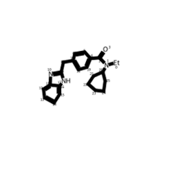 CCN(C(=O)c1ccc(Cc2nc3ccccc3[nH]2)cc1)C1CCCCC1